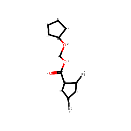 CCC1CC(CC)C(C(=O)OCOC2CCCC2)C1